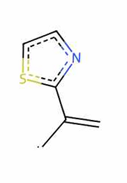 [CH2]C(=C)c1nccs1